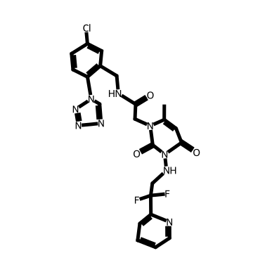 Cc1cc(=O)n(NCC(F)(F)c2ccccn2)c(=O)n1CC(=O)NCc1cc(Cl)ccc1-n1cnnn1